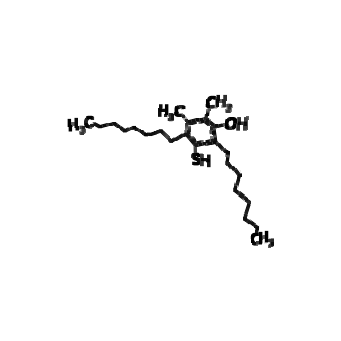 CCCCCCCCc1c(C)c(C)c(O)c(CCCCCCCC)c1S